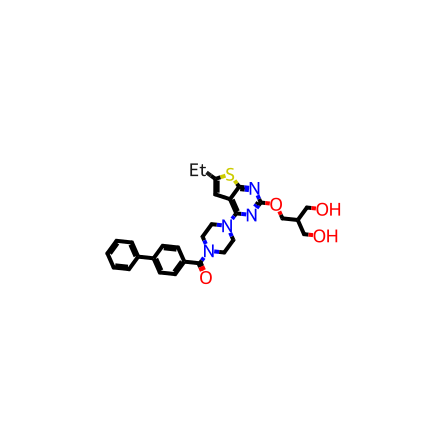 CCc1cc2c(N3CCN(C(=O)c4ccc(-c5ccccc5)cc4)CC3)nc(OCC(CO)CO)nc2s1